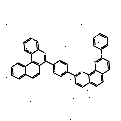 c1ccc(-c2ccc3ccc4ccc(-c5ccc(-c6nc7ccccc7c7c6ccc6ccccc67)cc5)nc4c3n2)cc1